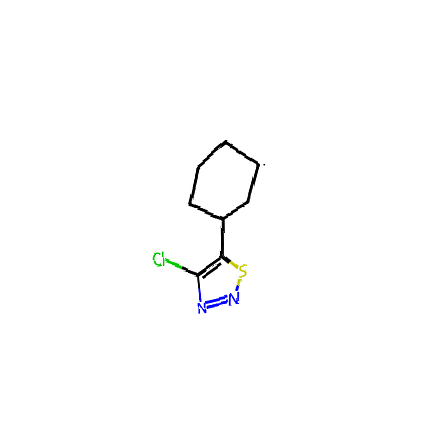 Clc1nnsc1C1C[CH]CCC1